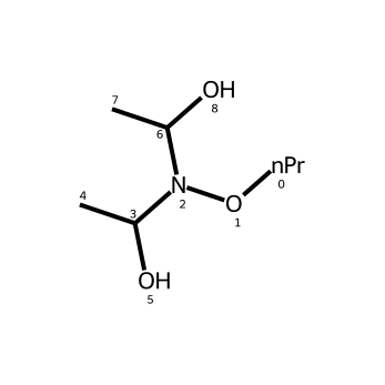 CCCON(C(C)O)C(C)O